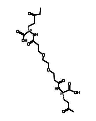 CCC(=O)CC[C@H](NC(=O)CCOCCOCCC(=O)N[C@@H](CCC(C)=O)C(=O)O)C(=O)O